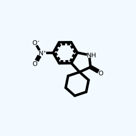 O=C1Nc2ccc([N+](=O)[O-])cc2C12CCCCC2